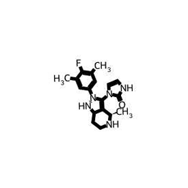 Cc1cc(N2NC3CCN[C@@H](C)C3=C2n2cc[nH]c2=O)cc(C)c1F